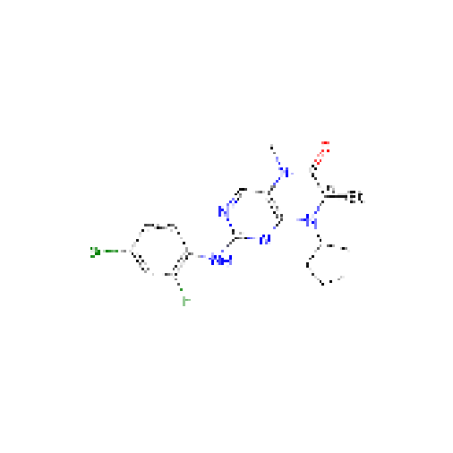 CC[C@@H]1C(=O)N(C)c2cnc(Nc3ccc(Br)cc3F)nc2N1C1CCCC1